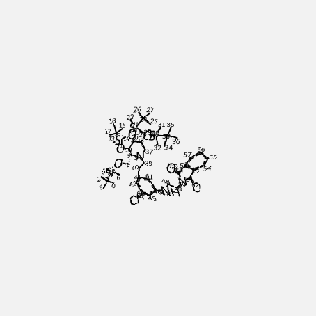 CC(C)(C)[Si](C)(C)OC[C@@H]1C(O[Si](C)(C)C(C)(C)C)C(O[Si](C)(C)C(C)(C)C)C(O[Si](C)(C)C(C)(C)C)CN1CCc1cc(Cl)cc(NCCN2C(=O)c3ccccc3C2=O)c1